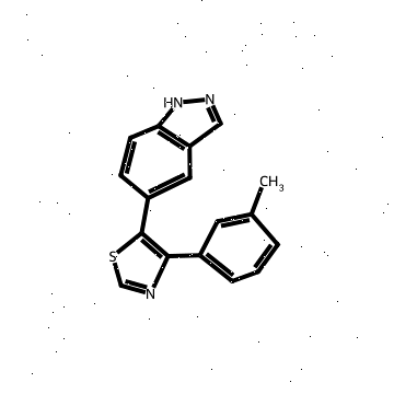 Cc1cccc(-c2ncsc2-c2ccc3[nH]ncc3c2)c1